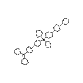 c1ccc(-c2ccc(-c3ccc([Si](c4ccccc4)(c4ccccc4)c4ccc(-c5ccc(N(c6ccccc6)c6ccccc6)cc5)cc4)cc3)cc2)cc1